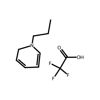 CCCN1C=CC=CC1.O=C(O)C(F)(F)F